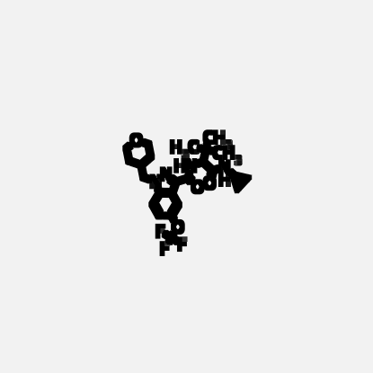 CC(C)(C)C(NC(=O)c1nn(CC2CCOCC2)c2ccc(OC(F)(F)F)cc12)C(=O)NC1CC1